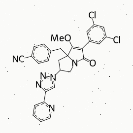 COC1=C(c2cc(Cl)cc(Cl)c2)C(=O)N2CC(n3cc(-c4ccccn4)nn3)CC12Cc1ccc(C#N)cc1